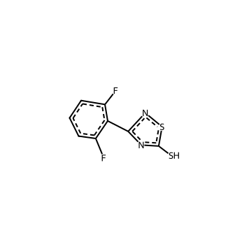 Fc1cccc(F)c1-c1nsc(S)n1